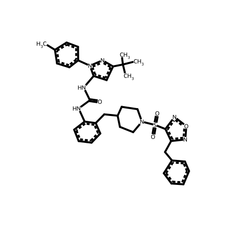 Cc1ccc(-n2nc(C(C)(C)C)cc2NC(=O)Nc2ccccc2CC2CCN(S(=O)(=O)c3nonc3Cc3ccccc3)CC2)cc1